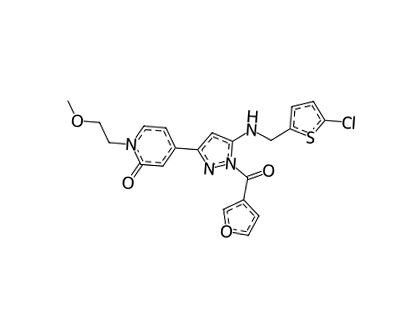 COCCn1ccc(-c2cc(NCc3ccc(Cl)s3)n(C(=O)c3ccoc3)n2)cc1=O